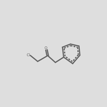 O=C(CCl)Cc1ccccc1